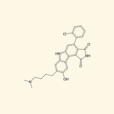 CN(C)CCCCc1cc2[nH]c3cc(-c4ccccc4Cl)c4c(c3c2cc1O)C(=O)NC4=O